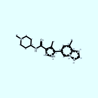 Cc1c(C(=O)NC2CCN(C)CC2)n[nH]c1-c1cc(C)c2ncnn2c1